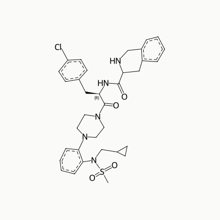 CS(=O)(=O)N(CC1CC1)c1ccccc1N1CCN(C(=O)[C@@H](Cc2ccc(Cl)cc2)NC(=O)C2Cc3ccccc3CN2)CC1